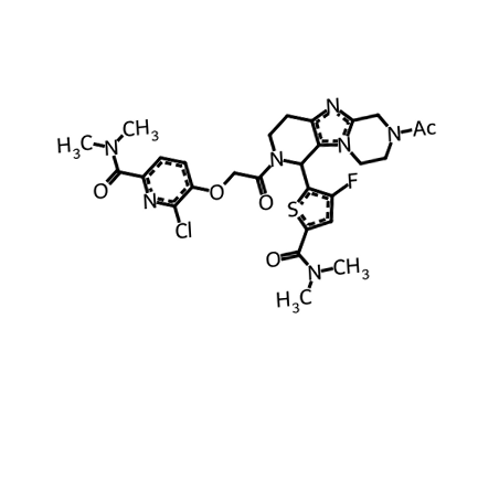 CC(=O)N1CCn2c(nc3c2C(c2sc(C(=O)N(C)C)cc2F)N(C(=O)COc2ccc(C(=O)N(C)C)nc2Cl)CC3)C1